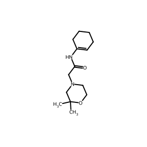 CC1(C)CN(CC(=O)NC2=CCCCC2)CCO1